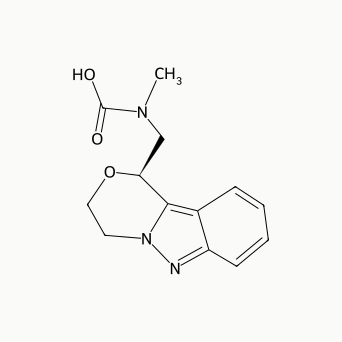 CN(C[C@@H]1OCCn2nc3ccccc3c21)C(=O)O